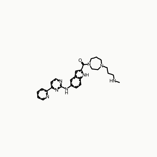 CNCCCN1CCCN(C(=O)c2cc3cc(Nc4nccc(-c5ccccn5)n4)ccc3[nH]2)CC1